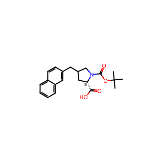 CC(C)(C)OC(=O)N1CC(Cc2ccc3ccccc3c2)C[C@H]1C(=O)O